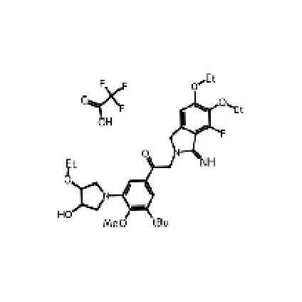 CCOc1cc2c(c(F)c1OCC)C(=N)N(CC(=O)c1cc(N3CC(O)C(OCC)C3)c(OC)c(C(C)(C)C)c1)C2.O=C(O)C(F)(F)F